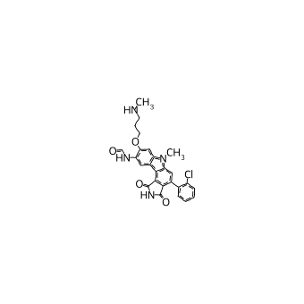 CNCCCOc1cc2c(cc1NC=O)c1c3c(c(-c4ccccc4Cl)cc1n2C)C(=O)NC3=O